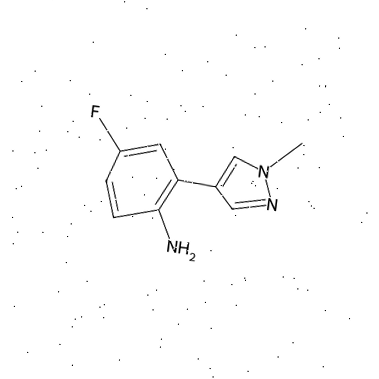 Cn1cc(-c2cc(F)ccc2N)cn1